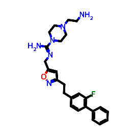 NCCN1CCN(C(N)=NCc2cc(CCc3ccc(-c4ccccc4)c(F)c3)no2)CC1